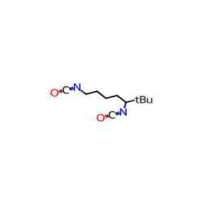 CC(C)(C)C(CCCCN=C=O)N=C=O